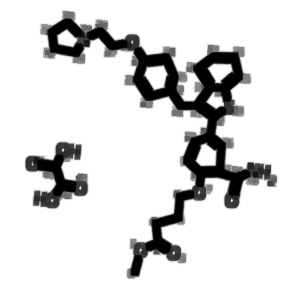 COC(=O)CCCOc1ccc(-c2sc3ccccc3c2Cc2ccc(OCCN3CCCC3)cc2)cc1C(N)=O.O=C(O)C(=O)O